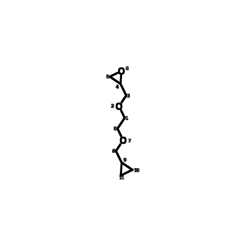 C(COCC1CO1)OCC1CC1